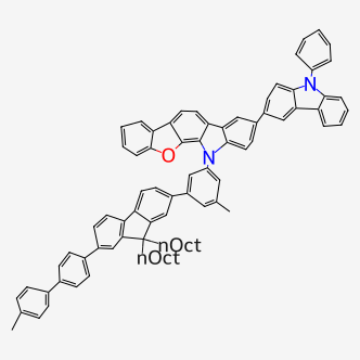 CCCCCCCCC1(CCCCCCCC)c2cc(-c3ccc(-c4ccc(C)cc4)cc3)ccc2-c2ccc(-c3cc(C)cc(-n4c5ccc(-c6ccc7c(c6)c6ccccc6n7-c6ccccc6)cc5c5ccc6c7ccccc7oc6c54)c3)cc21